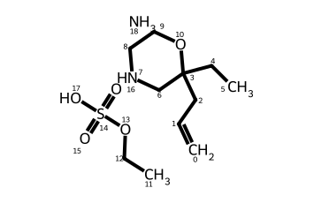 C=CCC1(CC)CNCCO1.CCOS(=O)(=O)O.N